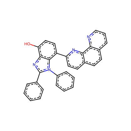 Oc1ccc(-c2ccc3ccc4cccnc4c3n2)c2c1nc(-c1ccccc1)n2-c1ccccc1